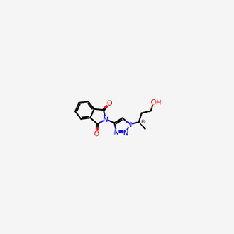 C[C@H](CCO)n1cc(N2C(=O)c3ccccc3C2=O)nn1